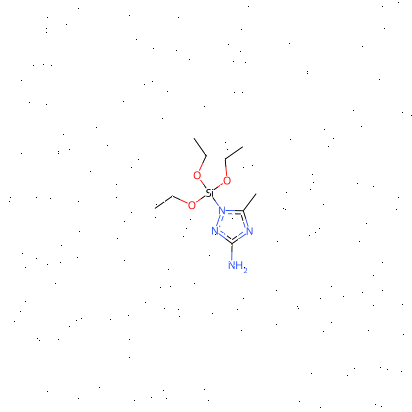 CCO[Si](OCC)(OCC)n1nc(N)nc1C